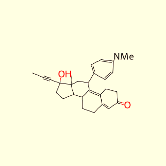 CC#CC1(O)CCC2C3CCC4=CC(=O)CCC4=C3C(c3ccc(NC)cc3)CC21C